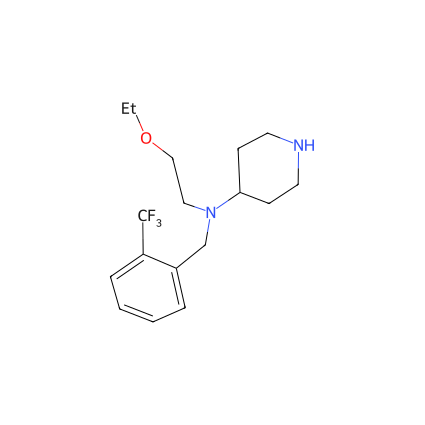 CCOCCN(Cc1ccccc1C(F)(F)F)C1CCNCC1